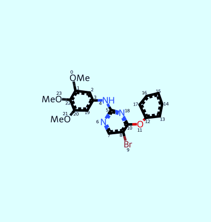 COc1cc(Nc2ncc(Br)c(Oc3ccccc3)n2)cc(OC)c1OC